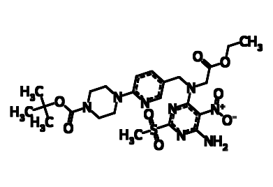 CCOC(=O)CN(Cc1ccc(N2CCN(C(=O)OC(C)(C)C)CC2)nc1)c1nc(S(C)(=O)=O)nc(N)c1[N+](=O)[O-]